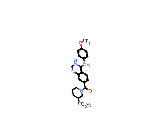 CCOC(=O)C1CCCN(C(=O)c2ccc3c(c2)=NCNC=3Nc2ccc(OC(F)(F)F)cc2)C1